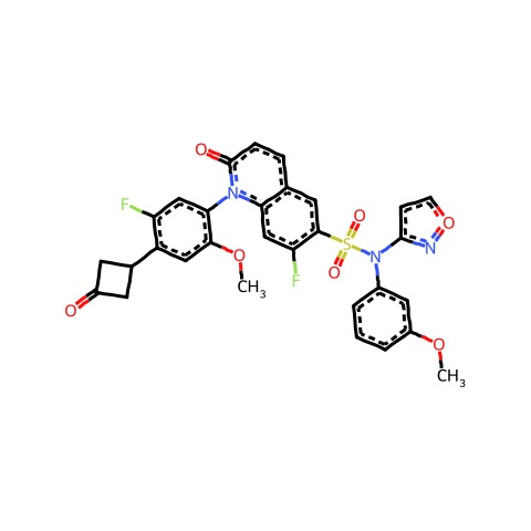 COc1cccc(N(c2ccon2)S(=O)(=O)c2cc3ccc(=O)n(-c4cc(F)c(C5CC(=O)C5)cc4OC)c3cc2F)c1